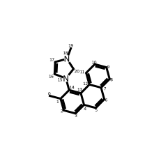 Cc1ccc2ccc3ccccc3c2c1N1C=CN(C)C1